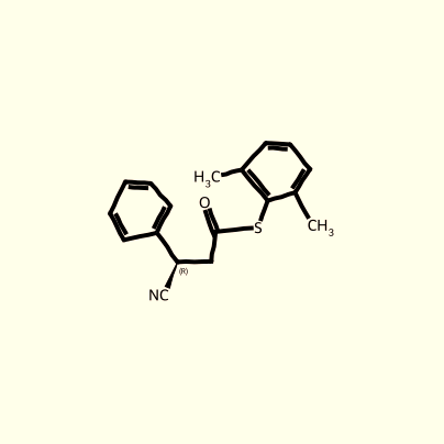 Cc1cccc(C)c1SC(=O)C[C@@H](C#N)c1ccccc1